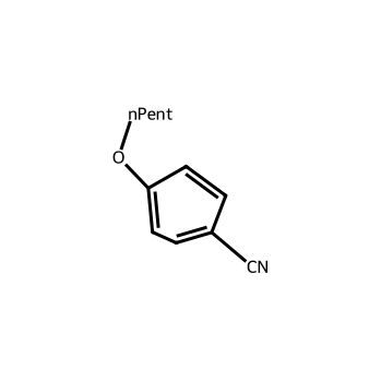 [CH2]CCCCOc1ccc(C#N)cc1